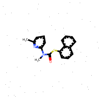 Cc1cccc(N(C)C(=O)Sc2cccc3ccccc23)n1